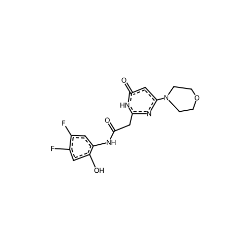 O=C(Cc1nc(N2CCOCC2)cc(=O)[nH]1)Nc1cc(F)c(F)cc1O